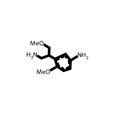 COCC(CN)c1cc(N)ccc1OC